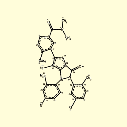 COc1ccc(C(=O)N(C)C)cc1-c1nc2c(n1C(C)C)C(c1ccc(Cl)cc1C)N(c1cc(Cl)ccc1C)C2=O